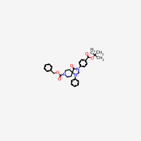 CC(C)(C)OC(=O)c1ccc(N2CN(c3ccccc3)C3(CCN(C(=O)OCc4ccccc4)CC3)C2=O)cc1